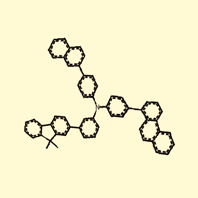 CC1(C)c2ccccc2-c2ccc(-c3cccc(N(c4ccc(-c5ccc6ccccc6c5)cc4)c4ccc(-c5cccc6c5ccc5ccccc56)cc4)c3)cc21